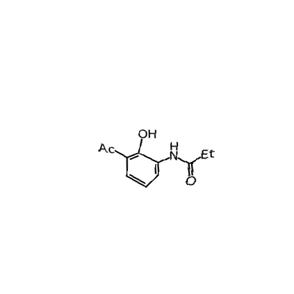 CCC(=O)Nc1cccc(C(C)=O)c1O